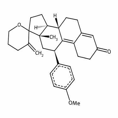 C=C1CCCOC12CC[C@H]1[C@@H]3CCC4=CC(=O)CCC4=C3[C@@H](c3ccc(OC)cc3)C[C@@]12C